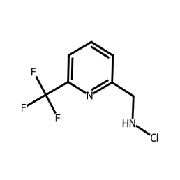 FC(F)(F)c1cccc(CNCl)n1